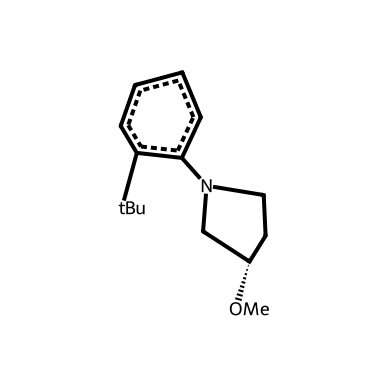 CO[C@H]1CCN(c2ccccc2C(C)(C)C)C1